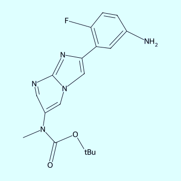 CN(C(=O)OC(C)(C)C)c1cnc2nc(-c3cc(N)ccc3F)cn2c1